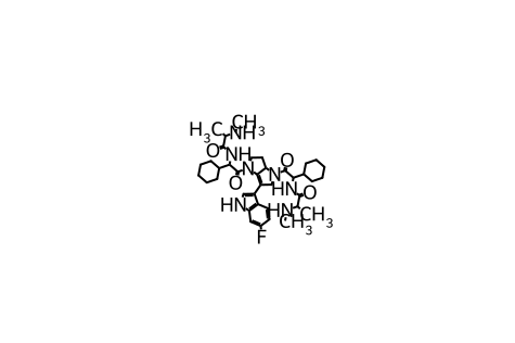 CNC(C)C(=O)NC(C(=O)N1CCC2C1=C(c1c[nH]c3cc(F)ccc13)CN2C(=O)C(NC(=O)C(C)NC)C1CCCCC1)C1CCCCC1